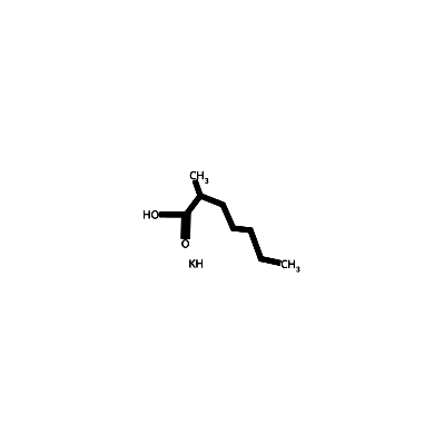 CCCCCC(C)C(=O)O.[KH]